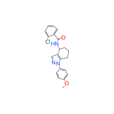 COc1ccc(-n2ncc3c2CCCC3NC(=O)c2ccccc2Cl)cc1